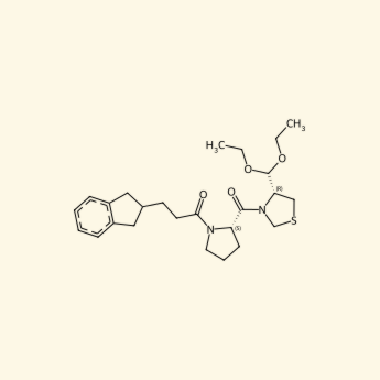 CCOC(OCC)[C@@H]1CSCN1C(=O)[C@@H]1CCCN1C(=O)CCC1Cc2ccccc2C1